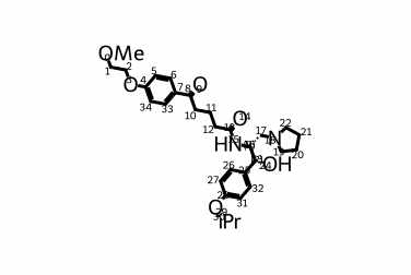 COCCOc1ccc(C(=O)CCCC(=O)N[C@H](CN2CCCC2)[C@H](O)c2ccc(OC(C)C)cc2)cc1